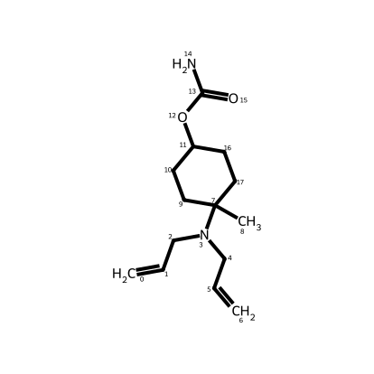 C=CCN(CC=C)C1(C)CCC(OC(N)=O)CC1